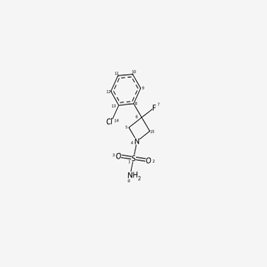 NS(=O)(=O)N1CC(F)(c2ccccc2Cl)C1